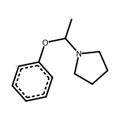 CC(Oc1[c]cccc1)N1CCCC1